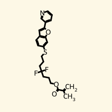 C=C(C)C(=O)OCCCC(F)(F)CCCSc1ccc2cc(-c3cccnc3)oc2c1